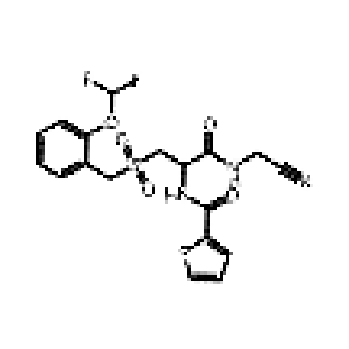 N#CCNC(=O)C(CS(=O)(=O)Cc1ccccc1OC(F)F)NC(=O)c1cccs1